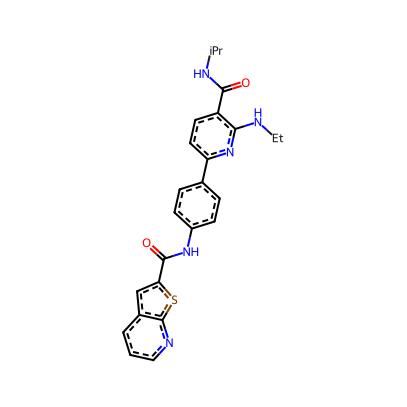 CCNc1nc(-c2ccc(NC(=O)c3cc4cccnc4s3)cc2)ccc1C(=O)NC(C)C